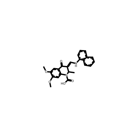 COc1cc2c(cc1OC)N(C(=O)O)C(C)C(=CNc1cccc3ccccc13)C2=O